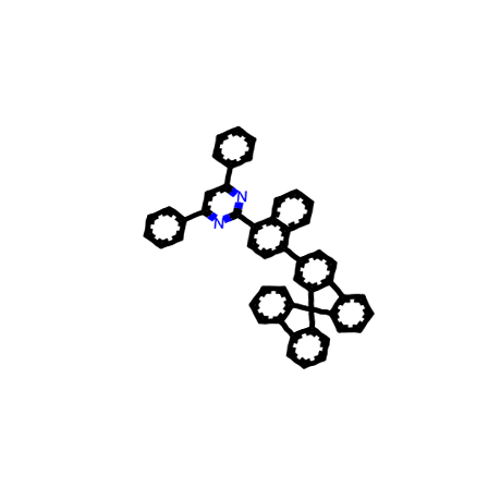 c1ccc(-c2cc(-c3ccccc3)nc(-c3ccc(-c4ccc5c(c4)C4(c6ccccc6-c6ccccc64)c4ccccc4-5)c4ccccc34)n2)cc1